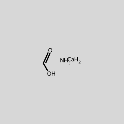 N.O=CO.[CaH2]